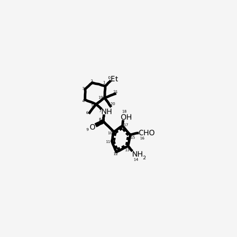 CCC1CCCC(C)(NC(=O)c2ccc(N)c(C=O)c2O)C1(C)C